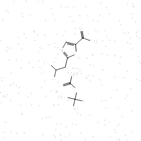 CC(=O)c1cnc([C@H](NC(=O)OC(C)(C)C)C(C)C)s1